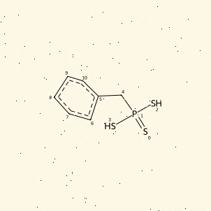 S=P(S)(S)Cc1ccccc1